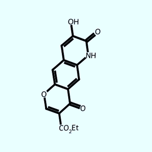 CCOC(=O)c1coc2cc3cc(O)c(=O)[nH]c3cc2c1=O